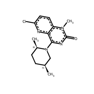 C[C@H]1CC[C@@H](C)N(c2nc(=O)n(C)c3ccc(Cl)nc23)C1